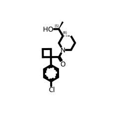 C[C@H](O)[C@@H]1CCCN(C(=O)C2(c3ccc(Cl)cc3)CCC2)C1